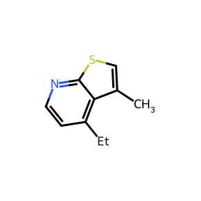 CCc1ccnc2scc(C)c12